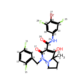 CC12CCCN1N(Cc1cc(F)ccc1F)C(=O)C(C(=O)Nc1cc(F)c(Br)c(F)c1)=C2O